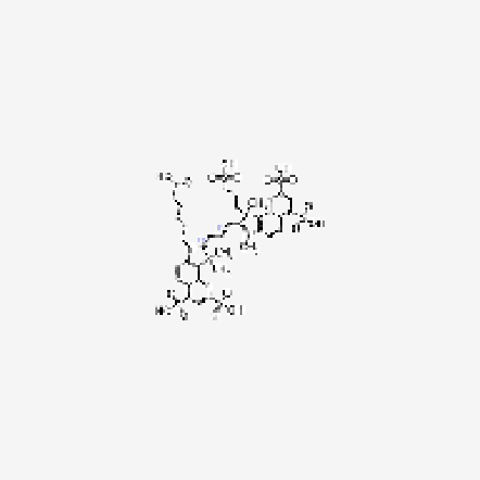 C[N+]1=C(/C=C/C=C2/N(CCCCCC(=O)O)c3ccc4c(S(=O)(=O)O)cc(S(=O)(=O)O)cc4c3C2(C)C)C(C)(CCCS(=O)(=O)O)c2c1ccc1c(S(=O)(=O)O)cc(S(=O)(=O)O)cc21